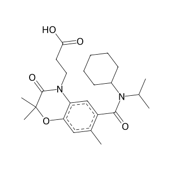 Cc1cc2c(cc1C(=O)N(C(C)C)C1CCCCC1)N(CCC(=O)O)C(=O)C(C)(C)O2